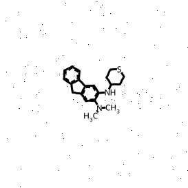 CN(C)c1cc2c(cc1NC1CCSCC1)-c1ccccc1C2